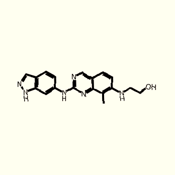 Cc1c(NCCO)ccc2cnc(Nc3ccc4cn[nH]c4c3)nc12